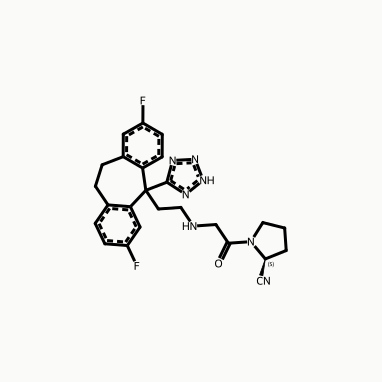 N#C[C@@H]1CCCN1C(=O)CNCCC1(c2nn[nH]n2)c2ccc(F)cc2CCc2ccc(F)cc21